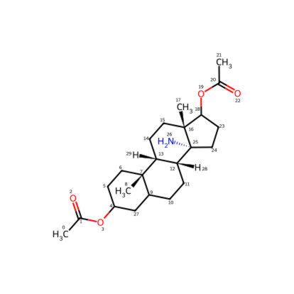 CC(=O)OC1CC[C@@]2(C)C(CC[C@@H]3[C@H]2CC[C@]2(C)C(OC(C)=O)CC[C@@]32N)C1